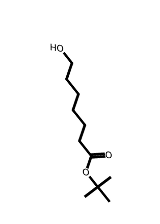 CC(C)(C)OC(=O)CCCCCCO